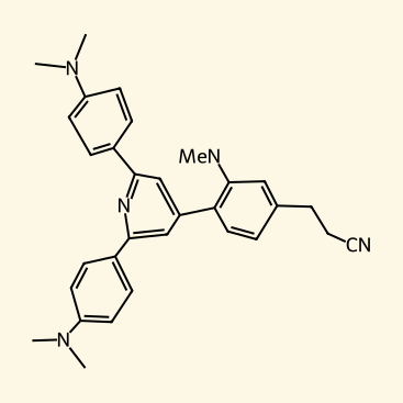 CNc1cc(CCC#N)ccc1-c1cc(-c2ccc(N(C)C)cc2)nc(-c2ccc(N(C)C)cc2)c1